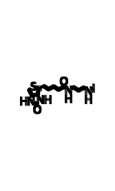 O=C(CCCC[C@@H]1SCC2NC(=O)NC21)NCCCNI